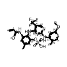 C=CC(=O)Nc1cc(C)cc(OS(=O)(=O)O)c1Nc1nc(Nc2cc(OC)ncc2C)ncc1C(F)(F)F